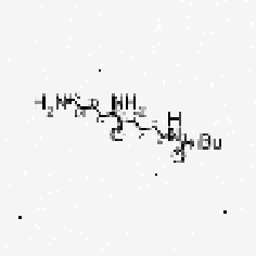 CCCCC(=O)NCCCCC(=O)[C@@H](N)CCCCN